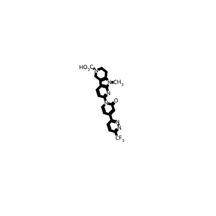 Cn1c2c(c3ccc(-n4ccc(-c5ccc(C(F)(F)F)nn5)cc4=O)nc31)CN(C(=O)O)CC2